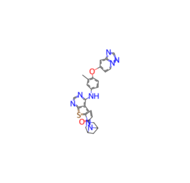 C=CC(=O)N1C2CC1CN(c1cc3c(Nc4ccc(Oc5ccn6ncnc6c5)c(C)c4)ncnc3s1)C2